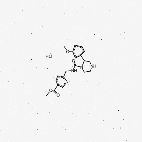 COC(=O)c1ccc(CNC(=O)N2CCNCC2c2cccc(OC)c2)nc1.Cl